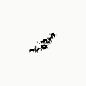 CCCNC(=O)COc1ccc(O[N+]23C=NC(c4ccco4)=NC2=CC(N)=N3)cc1